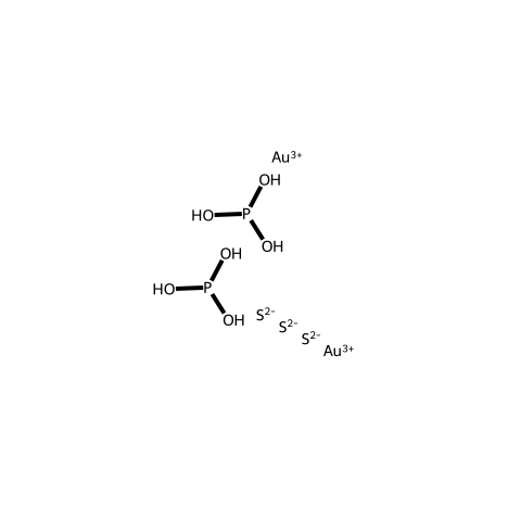 OP(O)O.OP(O)O.[Au+3].[Au+3].[S-2].[S-2].[S-2]